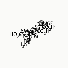 CS[C@@H](O/N=C(\C(=O)N[C@@H]1C(=O)N2C(C(=O)O)=C(CSc3snc(OC(=O)C(F)(F)F)c3C(=O)O)CS[C@@H]12)c1nsc(N)n1)C(=O)O